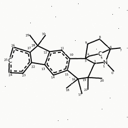 CN1C2C3(CCC1(C)CC3)c1cc3c(cc1C(C)(C)C2(C)C)-c1ccccc1C3(C)C